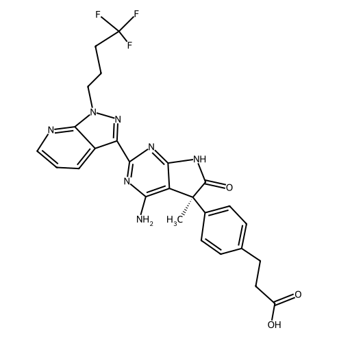 C[C@@]1(c2ccc(CCC(=O)O)cc2)C(=O)Nc2nc(-c3nn(CCCC(F)(F)F)c4ncccc34)nc(N)c21